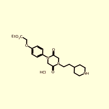 CCOC(=O)COc1ccc(N2CC(=O)N(CCC3CCNCC3)CC2=O)cc1.Cl